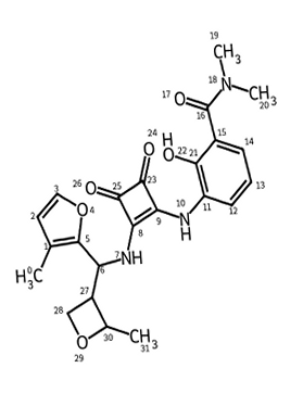 Cc1ccoc1C(Nc1c(Nc2cccc(C(=O)N(C)C)c2O)c(=O)c1=O)C1COC1C